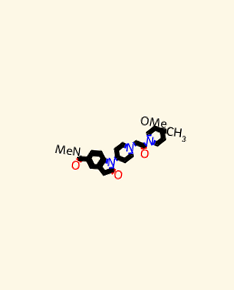 CNC(=O)c1ccc2c(c1)CC(=O)N2C1CCN(CC(=O)N2CCC(C)(OC)CC2)CC1